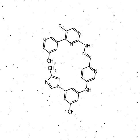 Cc1cncc(-c2nc(N/N=C/c3ccc(Nc4cc(-n5cnc(C)c5)cc(C(F)(F)F)c4)cn3)ncc2F)c1